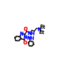 CCN(CC)CCCNC(=O)c1nc2ccccc2c(=O)n1Nc1ccccc1